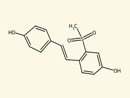 CS(=O)(=O)c1cc(O)ccc1C=Cc1ccc(O)cc1